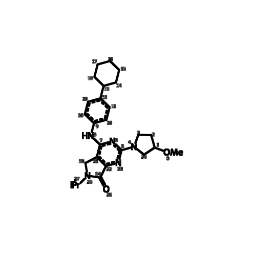 COC1CCN(c2nc(Nc3ccc(C4CCCCC4)cc3)c3c(n2)C(=O)N(C(C)C)C3)C1